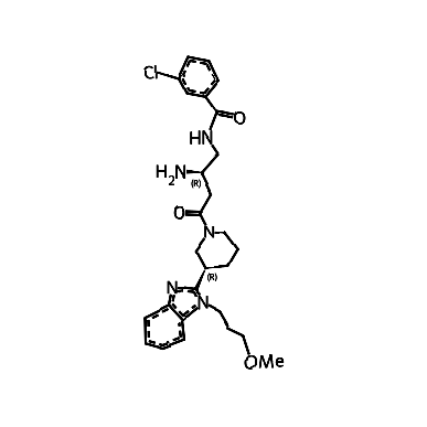 COCCCn1c([C@@H]2CCCN(C(=O)C[C@@H](N)CNC(=O)c3cccc(Cl)c3)C2)nc2ccccc21